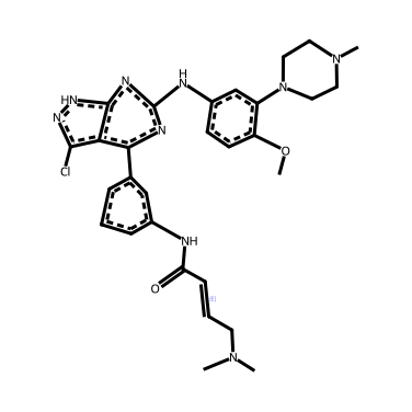 COc1ccc(Nc2nc(-c3cccc(NC(=O)/C=C/CN(C)C)c3)c3c(Cl)n[nH]c3n2)cc1N1CCN(C)CC1